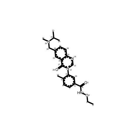 CCONC(=O)c1ccc(C)c(-n2cnc3ccc(CN(C)C(C)C)cc3c2=O)c1